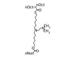 CCCCCCCCCC(=O)OCCCCCCN(CCCCCCSC(=O)C(CCCCCCCC)CCCCCCCC)CCN(C)C